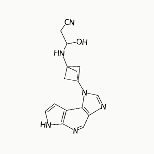 N#CCC(O)NC12CC(n3cnc4cnc5[nH]ccc5c43)(C1)C2